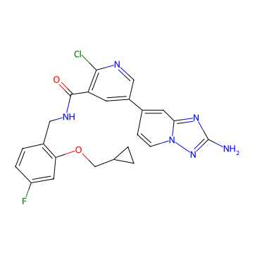 Nc1nc2cc(-c3cnc(Cl)c(C(=O)NCc4ccc(F)cc4OCC4CC4)c3)ccn2n1